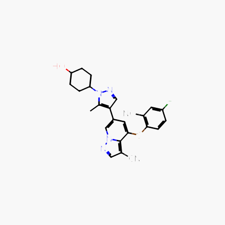 Cc1c(-c2cc(Sc3ccc(F)cc3C#N)c3c(C#N)cnn3c2)cnn1C1CCC(O)CC1